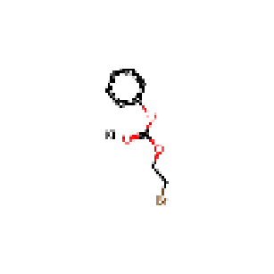 O=C(OCCBr)Oc1ccccc1.[KH]